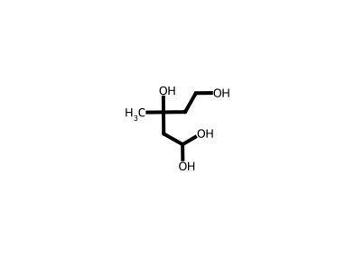 CC(O)(CCO)CC(O)O